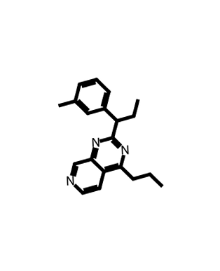 CCCc1nc(C(CC)c2cccc(C)c2)nc2cnccc12